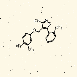 CCCc1ccc(OCc2c(Cl)nsc2-c2ccccc2C)cc1C(F)(F)F